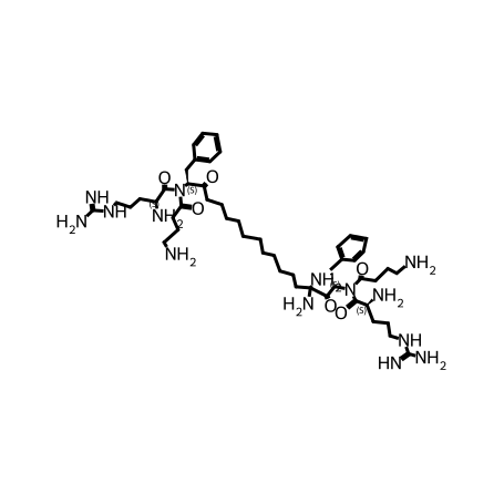 N=C(N)NCCC[C@H](N)C(=O)N(C(=O)CCCN)[C@@H](Cc1ccccc1)C(=O)CCCCCCCCCCCC(N)(N)C(=O)[C@H](Cc1ccccc1)N(C(=O)CCCN)C(=O)[C@@H](N)CCCNC(=N)N